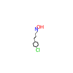 ON=CCC=Cc1ccc(Cl)cc1